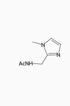 CC(=O)NCc1nccn1C